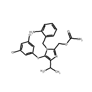 CC(C)c1nc(COC(N)=O)n(Cc2ccccc2N)c1Sc1cc(Cl)cc(Cl)c1